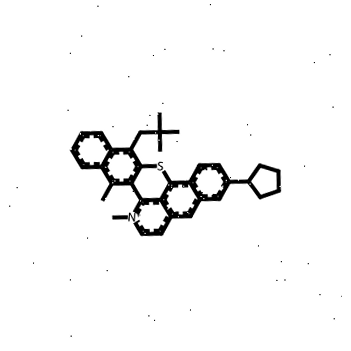 Cc1c2c(c(CC(C)(C)C)c3ccccc13)Sc1c3ccc(C4CCCC4)cc3cc3cc[n+](C)c-2c13